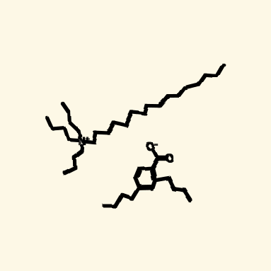 CCCCCCCCCCCCCCCC[N+](CCCC)(CCCC)CCCC.CCCCc1ccc(C(=O)[O-])c(CCCC)c1